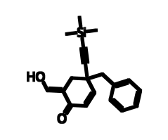 C[Si](C)(C)C#CC1(Cc2ccccc2)C=CC(=O)C(=CO)C1